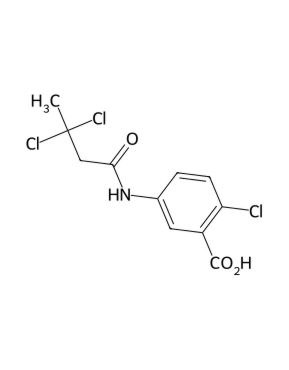 CC(Cl)(Cl)CC(=O)Nc1ccc(Cl)c(C(=O)O)c1